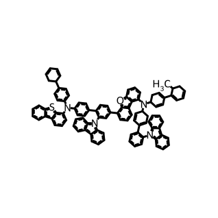 CC1CC=CC=C1C1=CCC(N(c2cccc3oc4c(-c5ccc(-c6ccc(N(c7ccc(C8C=CC=CC8)cc7)c7cccc8c7sc7ccccc78)cc6)c(-n6c7ccccc7c7ccccc76)c5)cccc4c23)C2C=CC(c3ccccc3-n3c4ccccc4c4ccccc43)=CC2)C=C1